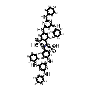 O=S(=O)(O)c1cc(Nc2cc(Nc3ccccc3)nc(Nc3ccccc3)n2)ccc1/C=C/c1ccc(Nc2cc(Nc3ccccc3)nc(Nc3ccccc3)n2)cc1S(=O)(=O)O